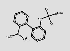 CCCCCC(Cl)(Cl)Pc1ccccc1-c1ccccc1N(C)C